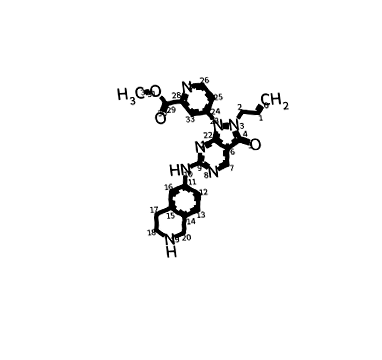 C=CCn1c(=O)c2cnc(Nc3ccc4c(c3)CCNC4)nc2n1-c1ccnc(C(=O)OC)c1